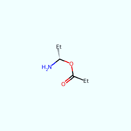 CCC(=O)O[C@H](N)CC